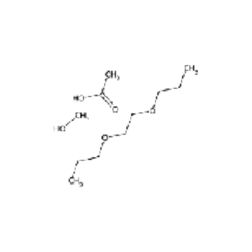 CC(=O)O.CCCOCCOCCC.CO